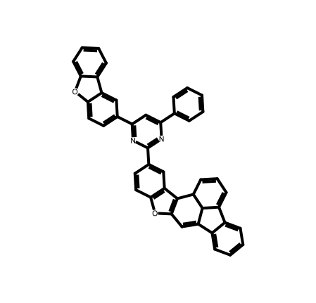 C1=CC2c3c(oc4ccc(-c5nc(-c6ccccc6)cc(-c6ccc7oc8ccccc8c7c6)n5)cc34)C=C3c4ccccc4C(=C1)C32